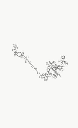 CC[C@H](C)[C@@H]([C@@H](CC(=O)N1CCC[C@H]1[C@H](OC)[C@@H](C)C(=O)N[C@H](C)[C@@H](O)c1ccccc1)OC)N(C)C(=O)[C@@H](NC(=O)[C@H](C(C)C)N(C)C(=O)OCc1ccc(NC(=O)[C@H](CCCNC(N)=O)NC(=O)[C@@H](NC(=O)CCOCCOCCOCCOCCNC(=O)OCC2[C@H]3CCc4c(nnn4CC(=O)NCC(C)(C)C)CC[C@@H]23)C(C)C)cc1)C(C)C